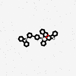 c1cc(-c2ccc(N(c3ccccc3-c3ccc4c(c3)oc3ccccc34)c3cccc4ccccc34)cc2)cc(-n2c3ccccc3c3ccccc32)c1